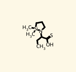 CCC(C(O)=S)N1CCC[Si]1(C)C